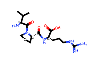 CC(C)[C@H](N)C(=O)N1CCC[C@H]1C(=O)N[C@@H](CCCNC(=N)N)C(=O)O